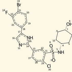 O=S(=O)(N[C@H]1CC[C@@H](O)CC1)c1cc(-c2ncc(-c3ccc(Br)c(F)c3)[nH]2)ccc1Cl